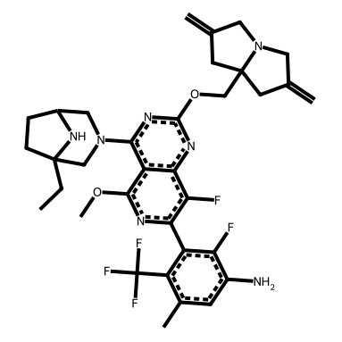 C=C1CN2CC(=C)CC2(COc2nc(N3CC4CCC(CC)(C3)N4)c3c(OC)nc(-c4c(F)c(N)cc(C)c4C(F)(F)F)c(F)c3n2)C1